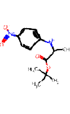 CC(Nc1ccc([N+](=O)[O-])cc1)C(=O)OC(C)(C)C